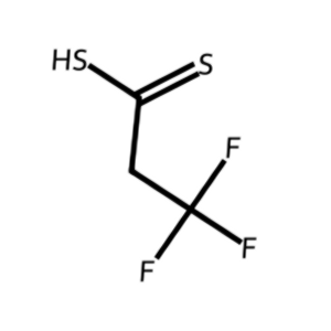 FC(F)(F)CC(=S)S